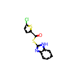 O=C(Sc1nc2ccccc2[nH]1)c1ccc(Cl)s1